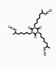 CC(CCCCCn1c(=O)n(CCCCCC(C)N=C=O)c(=O)n(CCCCCC(C)N=C=O)c1=O)N=C=O